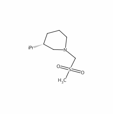 CC(C)[C@@H]1CCCN(CS(C)(=O)=O)C1